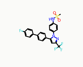 CS(=O)(=O)Nc1ccc(-n2nc(C(F)(F)F)cc2-c2ccc(-c3ccc(F)cc3)cc2)cc1